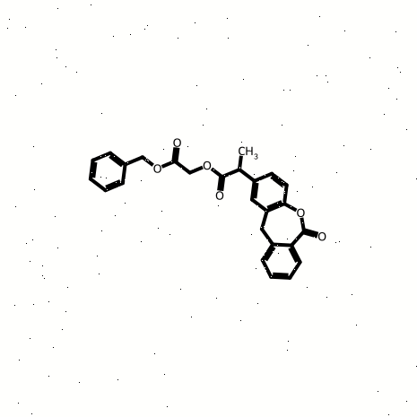 CC(C(=O)OCC(=O)OCc1ccccc1)c1ccc2c(c1)Cc1ccccc1C(=O)O2